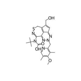 COc1c(C)cnc(Cn2nc3cc(CO)c4c-3c(n2)C(N(C(=O)O)C(C)(C)C)=NSC4)c1C